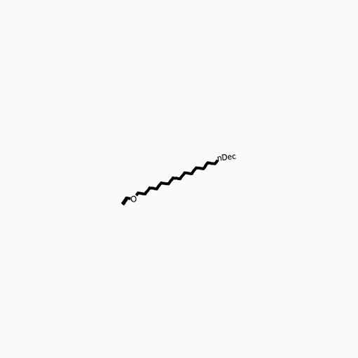 C=COCCCCCCCCCCCCCCCCCCCCCCCC